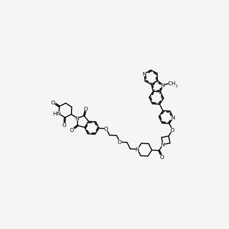 Cn1c2ccncc2c2ccc(-c3ccc(OC4CN(C(=O)C5CCN(CCOCCOc6ccc7c(c6)C(=O)N(C6CCC(=O)NC6=O)C7=O)CC5)C4)nc3)cc21